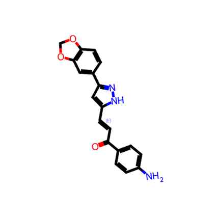 Nc1ccc(C(=O)/C=C/c2cc(-c3ccc4c(c3)OCO4)n[nH]2)cc1